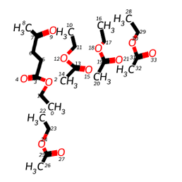 CCOC(=O)CCC(C)=O.CCOC(C)=O.CCOC(C)=O.CCOC(C)=O.CCOC(C)=O